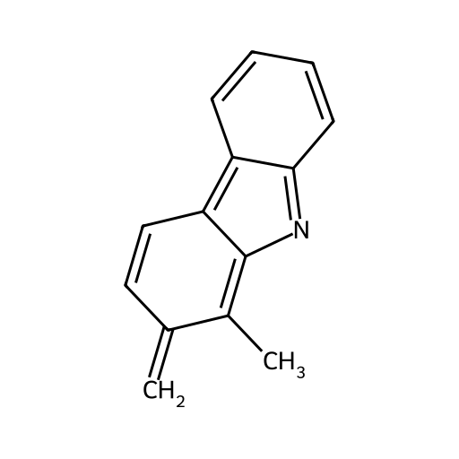 C=c1ccc2c(c1C)N=c1ccccc1=2